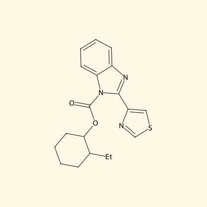 CCC1CCCCC1OC(=O)n1c(-c2cscn2)nc2ccccc21